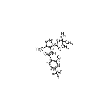 Cc1cnn(C(=O)OC(C)(C)C)c1NC(=O)c1ccc(C(F)(F)F)nc1Cl